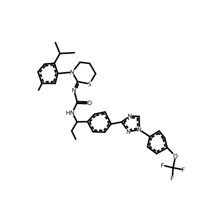 CCC(NC(=O)/N=C1\SCCCN1c1cc(C)ccc1C(C)C)c1ccc(-c2ncn(-c3ccc(OC(F)(F)F)cc3)n2)cc1